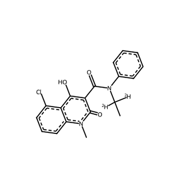 [2H]C([2H])(C)N(C(=O)c1c(O)c2c(Cl)cccc2n(C)c1=O)c1ccccc1